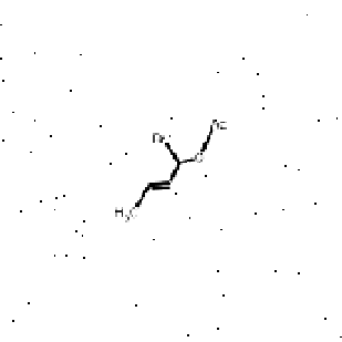 CC=CC(Br)OC(C)=O